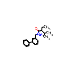 CCC(C(=O)NCc1cccc(-c2ccccc2)c1)C(C)C